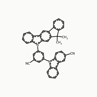 CC1(C)c2ccccc2-c2cc3c4ccccc4n(-c4cc(C#N)cc(-n5c6ccccc6c6cc(C#N)ccc65)c4)c3cc21